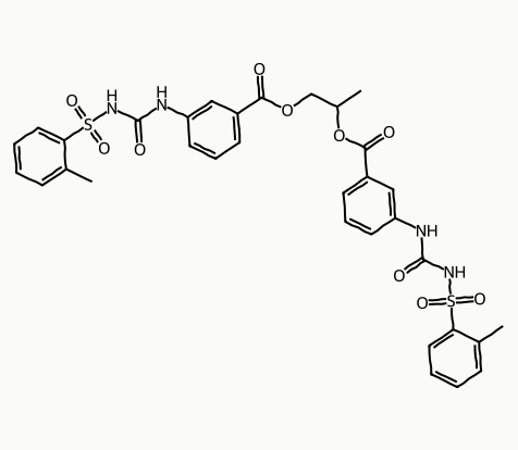 Cc1ccccc1S(=O)(=O)NC(=O)Nc1cccc(C(=O)OCC(C)OC(=O)c2cccc(NC(=O)NS(=O)(=O)c3ccccc3C)c2)c1